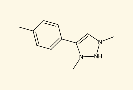 Cc1ccc(C2=CN(C)NN2C)cc1